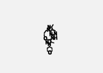 Cc1nn2c3nc(ncc13)Nc1c(nn(C3CCOCC3)c1C)OCCC2